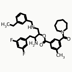 CCc1cccc(CNCC(OC(=O)c2cc(C)cc(C(=O)N3CCCCCC3)c2)C(N)Cc2cc(F)cc(F)c2)c1